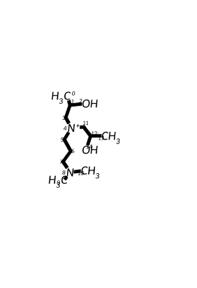 CC(O)C[N+](CCCN(C)C)CC(C)O